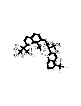 CC(C)(C)C(C)(c1ccc2ccc(CC(C)(C)[C@](C)(c3ccc4c(C(F)(F)F)cccc4n3)C(C)(C)C)c(C(F)(F)F)c2n1)C(C)(C)C